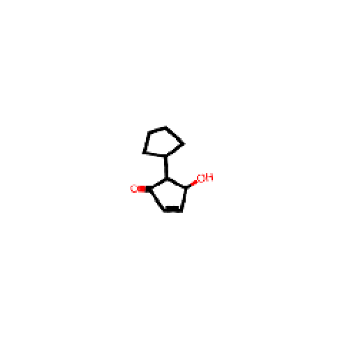 O=C1C=CC(O)C1C1CCCC1